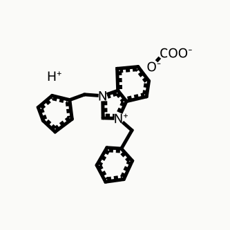 O=C([O-])[O-].[H+].c1ccc(Cn2c[n+](Cc3ccccc3)c3ccccc32)cc1